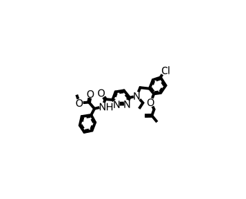 C=C(C)COc1ccc(Cl)cc1CN(CC)c1ccc(C(=O)NC(C(=O)OC)c2ccccc2)nn1